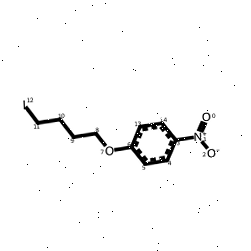 O=[N+]([O-])c1ccc(OCCCCI)cc1